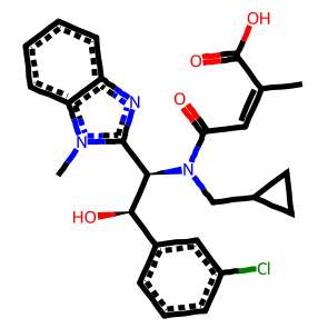 CC(=CC(=O)N(CC1CC1)[C@H](c1nc2ccccc2n1C)[C@H](O)c1cccc(Cl)c1)C(=O)O